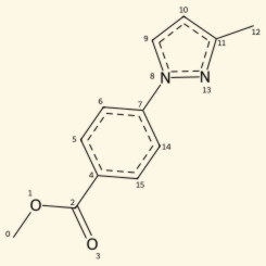 COC(=O)c1ccc(-n2ccc(C)n2)cc1